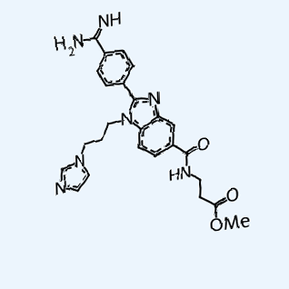 COC(=O)CCNC(=O)c1ccc2c(c1)nc(-c1ccc(C(=N)N)cc1)n2CCCn1ccnc1